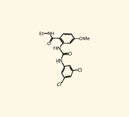 CCNC(=O)c1ccc(OC)cc1NC(=O)Nc1cc(Cl)cc(Cl)c1